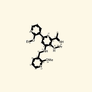 CCOc1ncccc1-c1cc(NCc2cccnc2OC)c(NC(C)C)c(C(C)=N)n1